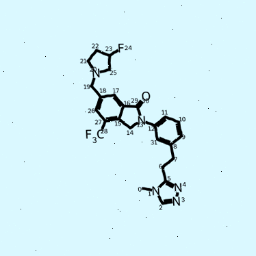 Cn1cnnc1CCc1cccc(N2Cc3c(cc(CN4CCC(F)C4)cc3C(F)(F)F)C2=O)c1